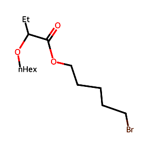 CCCCCCOC(CC)C(=O)OCCCCCBr